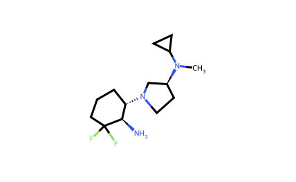 CN(C1CC1)[C@H]1CCN([C@H]2CCCC(F)(F)[C@@H]2N)C1